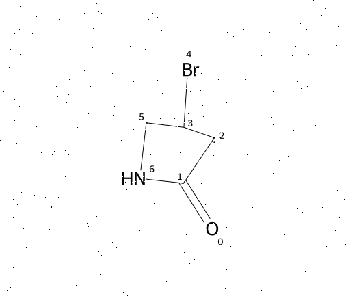 O=C1[CH]C(Br)CN1